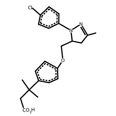 CC1=NN(c2ccc(Cl)cc2)C(COc2ccc(C(C)(C)CC(=O)O)cc2)C1